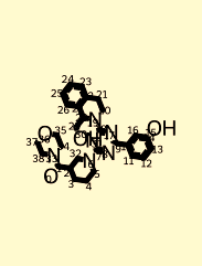 O=C(C1CCCN(c2nc(-c3cccc(O)c3)nc(N3CCc4ccccc4C3CO)n2)C1)N1CCOCC1